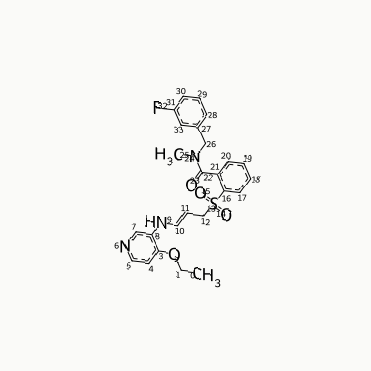 CCOc1ccncc1NC=CCS(=O)(=O)c1ccccc1C(=O)N(C)Cc1cccc(F)c1